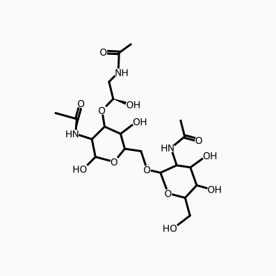 CC(=O)NC[C@@H](O)OC1C(O)C(COC2OC(CO)C(O)C(O)C2NC(C)=O)OC(O)C1NC(C)=O